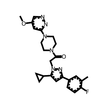 COc1cnnc(N2CCN(C(=O)Cn3nc(-c4ccc(F)c(C)c4)cc3C3CC3)CC2)c1